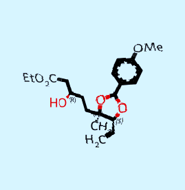 C=C[C@@H]1OC(c2ccc(OC)cc2)O[C@]1(C)CC[C@@H](O)CC(=O)OCC